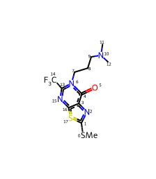 CSc1nc2c(=O)n(CCCN(C)C)c(C(F)(F)F)nc2s1